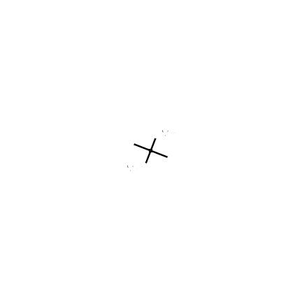 CSC(C)(C)SC